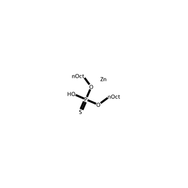 CCCCCCCCOP(O)(=S)OCCCCCCCC.[Zn]